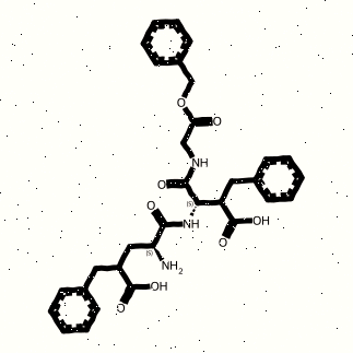 N[C@@H](CC(Cc1ccccc1)C(=O)O)C(=O)N[C@H](C(=O)NCC(=O)OCc1ccccc1)C(Cc1ccccc1)C(=O)O